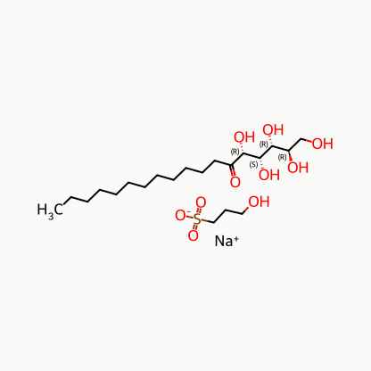 CCCCCCCCCCCCC(=O)[C@H](O)[C@@H](O)[C@H](O)[C@H](O)CO.O=S(=O)([O-])CCCO.[Na+]